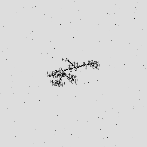 C[C@@H]1O[C@@H](OCCNC(=O)CCCCCNC(=O)[C@H](CCC(=O)NCCCC[C@@H](C(=O)NCCO[C@@H]2O[C@@H](C)[C@@H](O)[C@@H](O)[C@@H]2O)N(CC(=O)NCCO[C@@H]2O[C@@H](C)[C@@H](O)[C@@H](O)[C@@H]2O)CC(=O)NCCO[C@@H]2O[C@@H](C)[C@@H](O)[C@@H](O)[C@@H]2O)NC(=O)CCCCCN)[C@@H](O)[C@H](O)[C@@H]1O